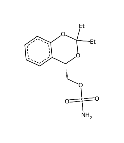 CCC1(CC)Oc2ccccc2[C@@H](COS(N)(=O)=O)O1